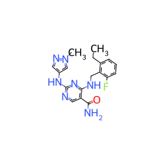 CCc1cccc(F)c1CNc1nc(Nc2cnn(C)c2)ncc1C(N)=O